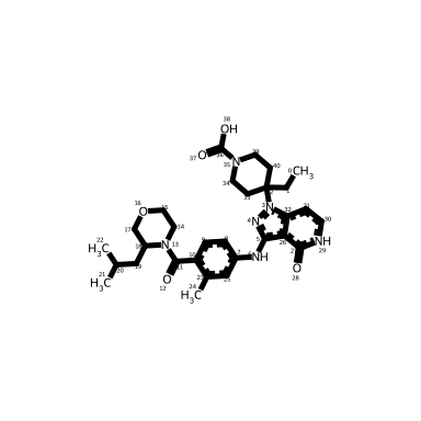 CCC1(n2nc(Nc3ccc(C(=O)N4CCOCC4CC(C)C)c(C)c3)c3c(=O)[nH]ccc32)CCN(C(=O)O)CC1